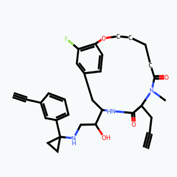 C#CCC1C(=O)NC(C(O)CNC2(c3cccc(C#C)c3)CC2)Cc2ccc(c(F)c2)OCCCCC(=O)N1C